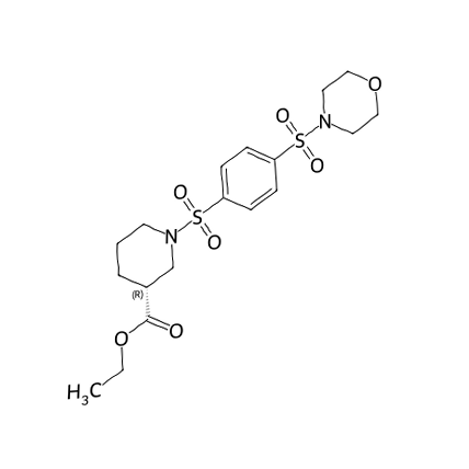 CCOC(=O)[C@@H]1CCCN(S(=O)(=O)c2ccc(S(=O)(=O)N3CCOCC3)cc2)C1